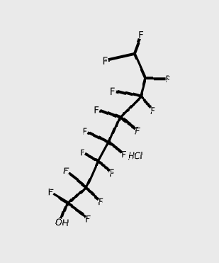 Cl.OC(F)(F)C(F)(F)C(F)(F)C(F)(F)C(F)(F)C(F)(F)C(F)C(F)F